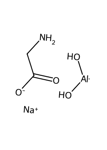 NCC(=O)[O-].[Na+].[OH][Al][OH]